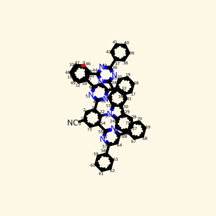 N#Cc1cc(-c2nc(-c3ccccc3)cc(-c3ccccc3)n2)c(-n2c3ccccc3c3ccc(-c4nc(-c5ccccc5)nc(-c5ccccc5)n4)cc32)c(-c2nc(-c3ccccc3)cc(-c3ccccc3)n2)c1